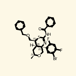 C[C@H]1C[C@H]2[C@@H](COCc3ccccc3)SC(NC(=O)c3ccccc3)=N[C@@]2(c2cc(Br)c(F)cc2F)CO1